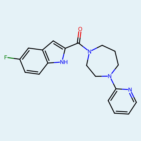 O=C(c1cc2cc(F)ccc2[nH]1)N1CCCN(c2ccccn2)CC1